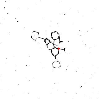 O=C(O)NN1C(=O)c2ccccc2C12c1ccc(N3CCOCC3)cc1Oc1cc(N3CCOCC3)ccc12